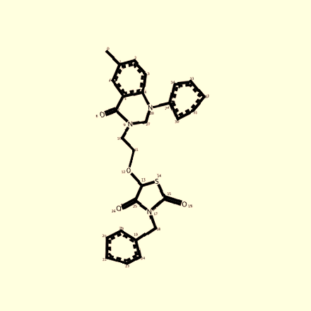 Cc1ccc2c(c1)C(=O)N(CCOC1SC(=O)N(Cc3ccccc3)C1=O)CN2c1ccccc1